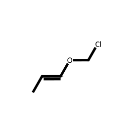 C/C=[C]/OCCl